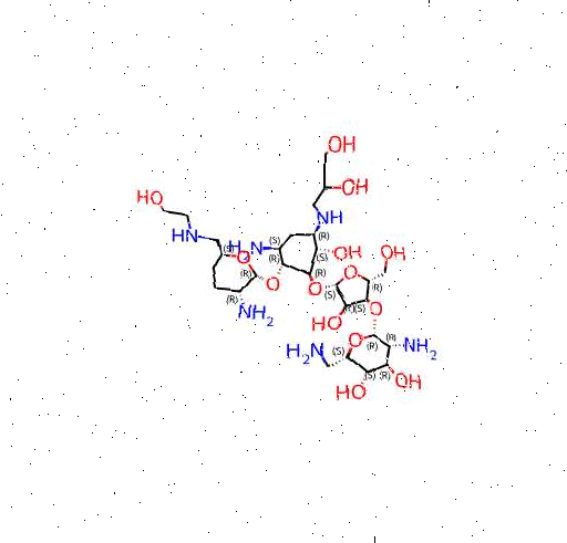 NC[C@@H]1O[C@H](O[C@H]2[C@@H](O)[C@H](O[C@@H]3[C@@H](O)[C@H](NCC(O)CO)C[C@H](N)[C@H]3O[C@H]3O[C@H](CNCCO)CC[C@H]3N)O[C@@H]2CO)[C@H](N)[C@@H](O)[C@@H]1O